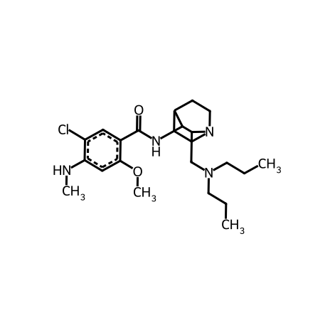 CCCN(CCC)CC1C(NC(=O)c2cc(Cl)c(NC)cc2OC)C2CCN1CC2